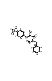 CS(=O)(=O)c1ccc(-c2cnn(Cc3ccccc3)c(=O)c2Br)cc1